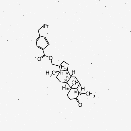 CC(C)Cc1ccc(C(=O)OCC2CC[C@H]3[C@@H]4CC[C@H]5N(C)C(=O)CC[C@]5(C)[C@H]4CC[C@]23C)cc1